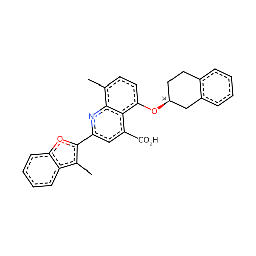 Cc1c(-c2cc(C(=O)O)c3c(O[C@H]4CCc5ccccc5C4)ccc(C)c3n2)oc2ccccc12